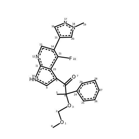 COCOC(C)(C(=O)c1c[nH]c2ncc(-c3cnn(C)c3)c(F)c12)c1ccccc1